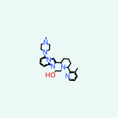 Cc1cccnc1C1CCCC(c2cn3c(N4CCN(C)CC4)cccc3n2)N1CCO